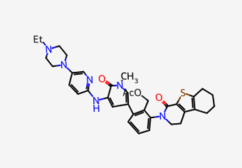 CCN1CCN(c2ccc(Nc3cc(-c4cccc(N5CCc6c(sc7c6CCCC7)C5=O)c4COC(C)=O)cn(C)c3=O)nc2)CC1